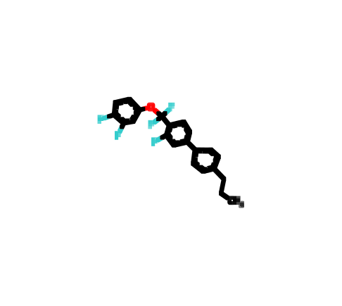 CCCc1ccc(-c2ccc(C(F)(F)Oc3ccc(F)c(F)c3)c(F)c2)cc1